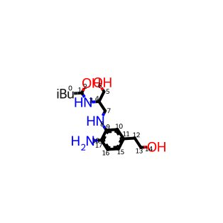 CCC(C)C(O)NC(CO)CNc1cc(CCO)ccc1N